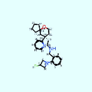 FC1CN(c2ccccc2CNCC[C@@]2(c3ccccn3)CCOC3(CCCC3)C2)C1